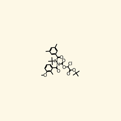 COc1cccc(C(=O)N(C(=O)OC(Cl)C(=O)OC(C)(C)C)N(C(=O)c2cc(C)cc(C)c2)C(C)(C)C)c1C